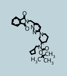 CC(C)(C)OC(=O)N(CC1CCC1)[C@@H]1CCCN(c2ccc(CN3C(=O)c4ccccc4C3=O)nn2)C1